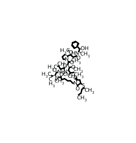 CCCCC(C)SC1CC(=O)N(CCCCCC(=O)N(C)[C@H](C(=O)N[C@H](C(=O)N(C)[C@@H]([C@@H](C)CC)[C@@H](CC(=O)N2CCC[C@H]2[C@H](OC)[C@@H](C)C(=O)N[C@H](C)[C@@H](O)c2ccccc2)OC)C(C)C)C(C)C)C1=O